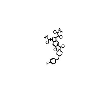 CN(C)C(=O)C(=O)C1CN(C(=O)N(C)C)c2cc(Cl)c(C(=O)N3CCC(Cc4ccc(F)cc4)CC3)cc21